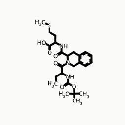 CCC(NC(=O)OC(C)(C)C)C(=O)N1Cc2ccccc2CC1C(=O)NC(CCSC)C(=O)O